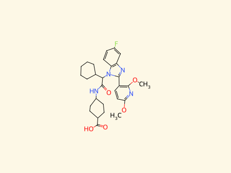 COc1ccc(-c2nc3cc(F)ccc3n2C(C(=O)NC2CCC(C(=O)O)CC2)C2CCCCC2)c(OC)n1